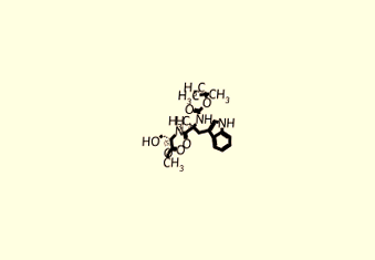 COC(=O)[C@H](CO)NC(=O)[C@](C)(Cc1c[nH]c2ccccc12)NC(=O)OC(C)(C)C